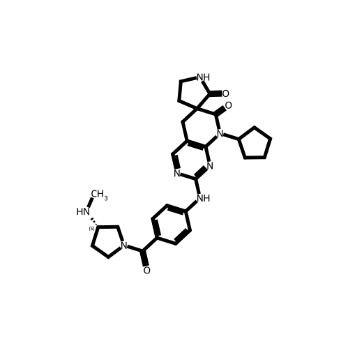 CN[C@H]1CCN(C(=O)c2ccc(Nc3ncc4c(n3)N(C3CCCC3)C(=O)C3(CCNC3=O)C4)cc2)C1